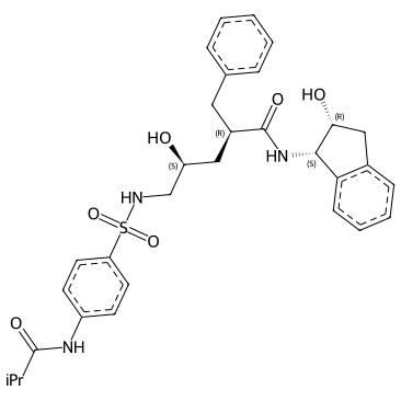 CC(C)C(=O)Nc1ccc(S(=O)(=O)NC[C@@H](O)C[C@@H](Cc2ccccc2)C(=O)N[C@H]2c3ccccc3C[C@H]2O)cc1